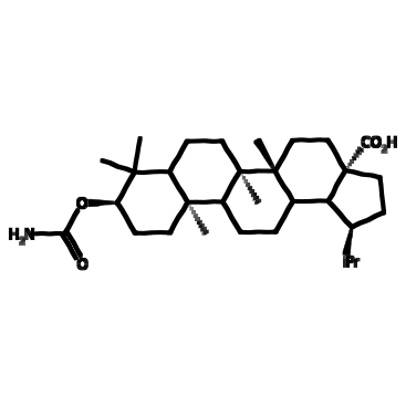 CC(C)[C@@H]1CC[C@]2(C(=O)O)CC[C@]3(C)C(CCC4[C@@]5(C)CC[C@@H](OC(N)=O)C(C)(C)C5CC[C@]43C)C12